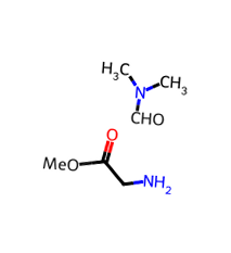 CN(C)C=O.COC(=O)CN